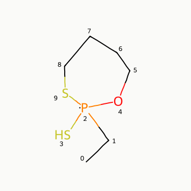 CC[P]1(S)OCCCCS1